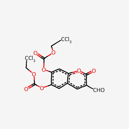 O=Cc1cc2cc(OC(=O)OCC(Cl)(Cl)Cl)c(OC(=O)OCC(Cl)(Cl)Cl)cc2oc1=O